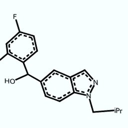 CC(C)Cn1ncc2cc(C(O)c3ccc(F)cc3F)ccc21